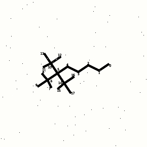 CCCCCC(C(C)(C)C)(C(C)(C)C)C(C)(C)C